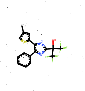 Cc1csc(-c2[nH]c(C(O)(C(F)(F)F)C(F)(F)F)nc2-c2ccccc2)c1